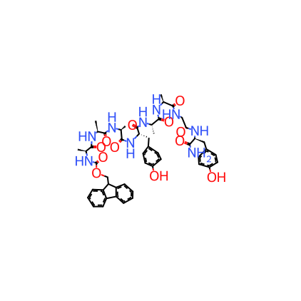 C[C@H](NC(=O)OCC1c2ccccc2-c2ccccc21)C(=O)N[C@@H](C)C(=O)N[C@@H](C)C(=O)N[C@@H](Cc1ccc(O)cc1)C(=O)N[C@@H](C)C(=O)N[C@@H](C)C(=O)NCC(=O)N[C@@H](Cc1ccc(O)cc1)C(N)=O